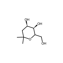 CC1(C)C[C@@H](O)[C@@H](O)C(CO)O1